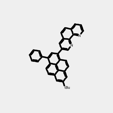 CC(C)(C)c1cc2ccc3c(-c4ccccc4)cc(-c4cnc5c(ccc6cccnc65)c4)c4ccc(c1)c2c34